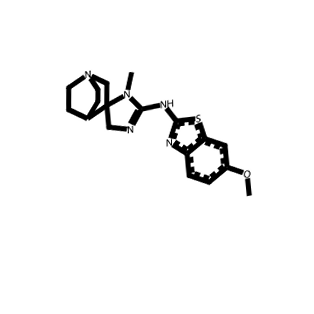 COc1ccc2nc(NC3=NCC4(CN5CCC4CC5)N3C)sc2c1